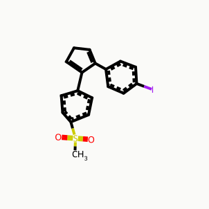 CS(=O)(=O)c1ccc(C2=CCC=C2c2ccc(I)cc2)cc1